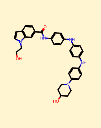 O=C(Nc1ccc(Nc2ccc(Nc3ccc(N4CCC(O)CC4)cc3)cc2)cc1)c1ccc2ccn(CCO)c2c1